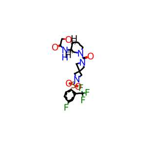 O=C1CO[C@H]2CCN(C(=O)N3CC4(C3)CN(S(=O)(=O)c3ccc(F)cc3C(F)(F)F)C4)C[C@H]2N1